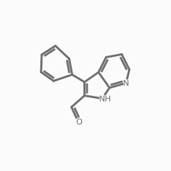 O=Cc1[nH]c2ncccc2c1-c1ccccc1